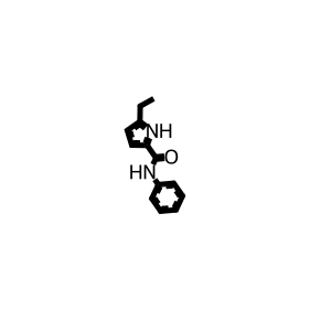 CCc1ccc(C(=O)Nc2ccccc2)[nH]1